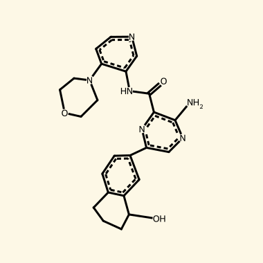 Nc1ncc(-c2ccc3c(c2)C(O)CCC3)nc1C(=O)Nc1cnccc1N1CCOCC1